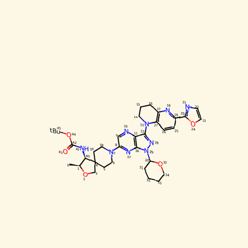 C[C@@H]1OCC2(CCN(c3cnc4c(N5CCCc6nc(-c7ncco7)ccc65)nn(C5CCCCO5)c4n3)CC2)[C@@H]1NC(=O)OC(C)(C)C